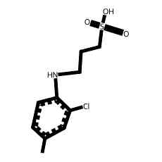 Cc1ccc(NCCCS(=O)(=O)O)c(Cl)c1